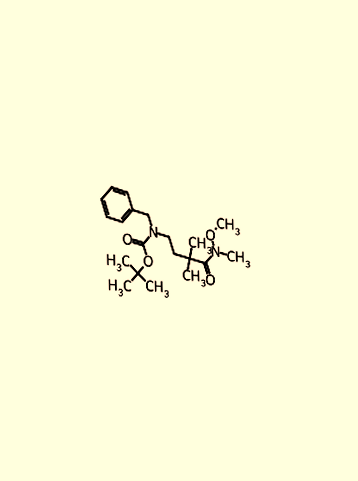 CON(C)C(=O)C(C)(C)CCN(Cc1ccccc1)C(=O)OC(C)(C)C